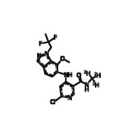 [2H]C([2H])([2H])NC(=O)c1cnc(Cl)cc1Nc1ccc2cnn(CC(C)(F)F)c2c1OC